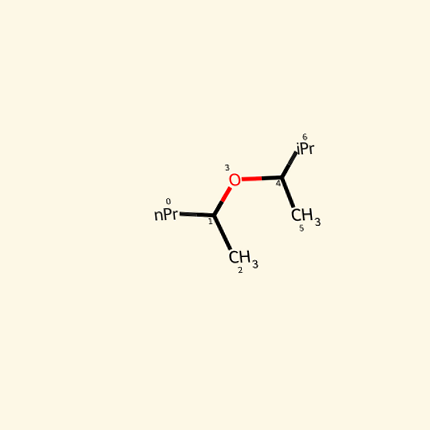 CCCC(C)OC(C)C(C)C